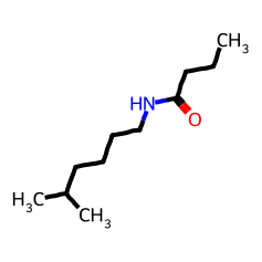 CCCC(=O)NCCCCC(C)C